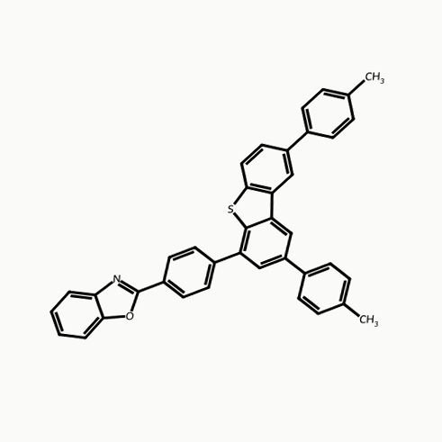 Cc1ccc(-c2ccc3sc4c(-c5ccc(-c6nc7ccccc7o6)cc5)cc(-c5ccc(C)cc5)cc4c3c2)cc1